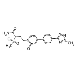 Cn1nnc(-c2ccc(-c3ccn(CCC(C(N)=O)S(C)(=O)=O)c(=O)c3)cc2)n1